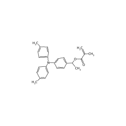 C=C(C)C(=O)OC(C)c1ccc(N(c2ccc(C)cc2)c2ccc(C)cc2)cc1